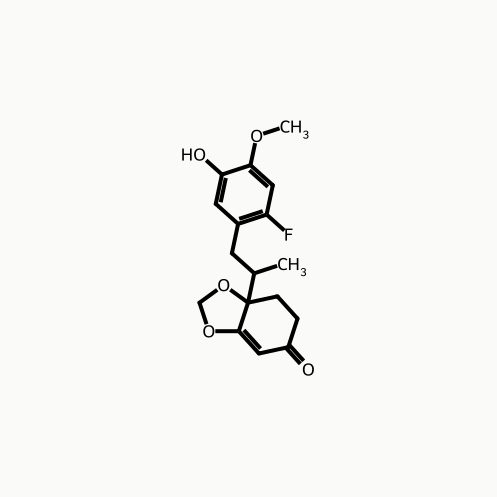 COc1cc(F)c(CC(C)C23CCC(=O)C=C2OCO3)cc1O